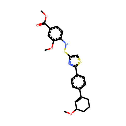 COC(=O)c1ccc(NSc2csc(-c3ccc(C4=CC(OC)CCC4)cc3)n2)c(OC)c1